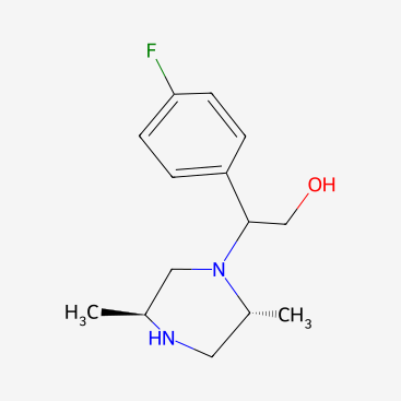 C[C@@H]1CN[C@@H](C)CN1C(CO)c1ccc(F)cc1